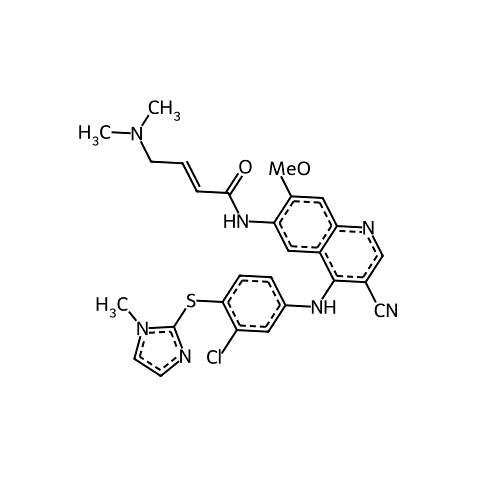 COc1cc2ncc(C#N)c(Nc3ccc(Sc4nccn4C)c(Cl)c3)c2cc1NC(=O)C=CCN(C)C